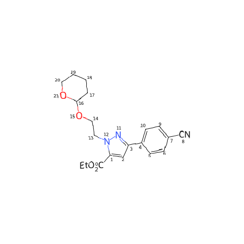 CCOC(=O)c1cc(-c2ccc(C#N)cc2)nn1CCOC1CCCCO1